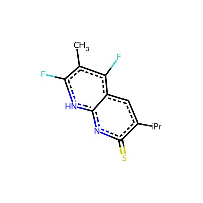 Cc1c(F)[nH]c2nc(=S)c(C(C)C)cc-2c1F